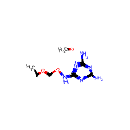 C=O.CCOCONc1nc(N)nc(N)n1